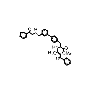 COC(=O)C(Cc1ccc(-c2cccc(CNCC(=O)c3ccccc3)c2)cc1)NC(C)=CC(=O)c1ccccc1